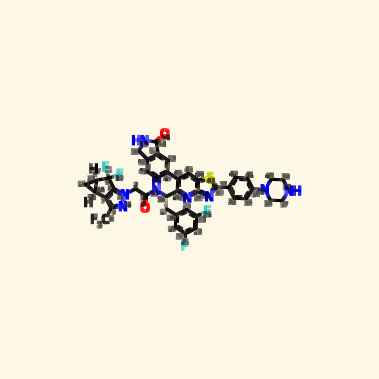 O=C(Cn1nc(C(F)(F)F)c2c1C(F)(F)[C@@H]1C[C@H]21)N[C@@H](Cc1cc(F)cc(F)c1)c1nc2nc(-c3ccc(N4CCNCC4)cc3)sc2cc1-c1ccc2c(c1)C(=O)NC2